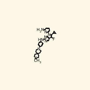 CN1CCC2(CC1)CCN(c1ccc(Nc3ncc4c(F)c(C5CC5)n(-c5cccc(N)n5)c4n3)cc1)CC2